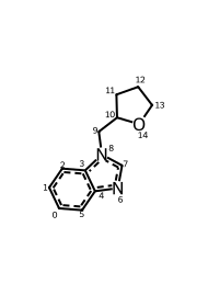 c1ccc2c(c1)ncn2CC1CCCO1